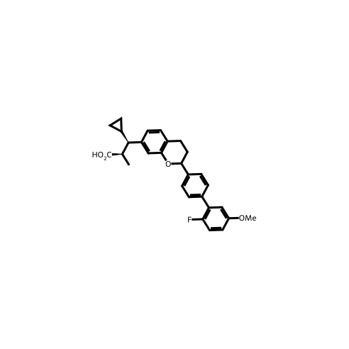 COc1ccc(F)c(-c2ccc(C3CCc4ccc([C@H](C5CC5)[C@@H](C)C(=O)O)cc4O3)cc2)c1